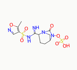 Cc1oncc1S(=O)(=O)NC(=N)C1CCC2CN1C(=O)N2OS(=O)(=O)O